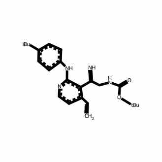 C=Cc1ccnc(Nc2ccc(C(C)CC)cc2)c1C(=N)CNC(=O)OC(C)(C)C